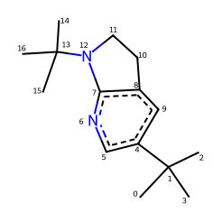 CC(C)(C)c1cnc2c(c1)CCN2C(C)(C)C